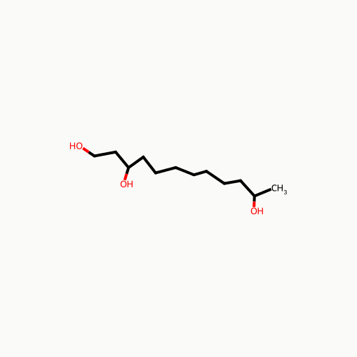 CC(O)CCCCCCCC(O)CCO